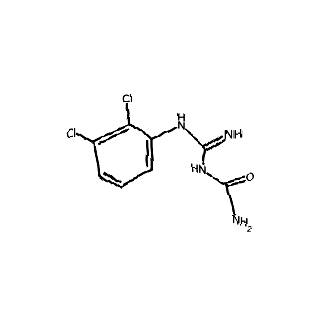 N=C(NC(N)=O)Nc1cccc(Cl)c1Cl